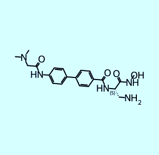 CN(C)CC(=O)Nc1ccc(-c2ccc(C(=O)N[C@@H](CN)C(=O)NO)cc2)cc1